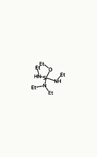 CCN[Si](NCC)(OCC)N(CC)CC